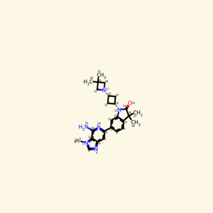 CC(C)n1cnc2cc(-c3ccc4c(c3)N([C@H]3C[C@@H](N5CC(C)(C)C5)C3)C(=O)C4(C)C)nc(N)c21